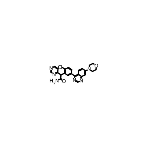 NC(=O)C(c1ccncn1)c1cc(-c2ncnc3cc(N4CCOCC4)ccc23)ccc1Cl